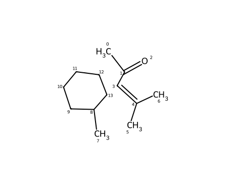 CC(=O)C=C(C)C.CC1CCCCC1